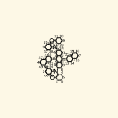 C1=CC2=C(CC1)N(c1ccc3c(-c4ccc5ccccc5c4)c4ccc(N5c6ccccc6Oc6ccccc65)cc4c(-c4ccc5ccccc5c4)c3c1)c1ccccc1O2